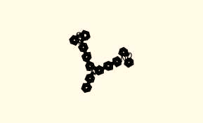 C1=CC2=C(CC1)Oc1ccccc1N2c1ccc(-c2ccc(-c3ccc4c(c3)c3cc(-c5ccc(-c6ccc(N7c8ccccc8Oc8ccccc87)cc6)cc5)ccc3n4-c3ccc(-c4ccccc4)cc3)cc2)cc1